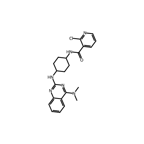 CN(C)c1nc(NC2CCC(NC(=O)c3cccnc3Cl)CC2)nc2ccccc12